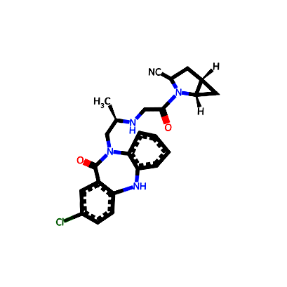 C[C@H](CN1C(=O)c2cc(Cl)ccc2Nc2ccccc21)NCC(=O)N1C(C#N)C[C@@H]2C[C@@H]21